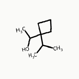 CC(C)C1(C(C)O)CCC1